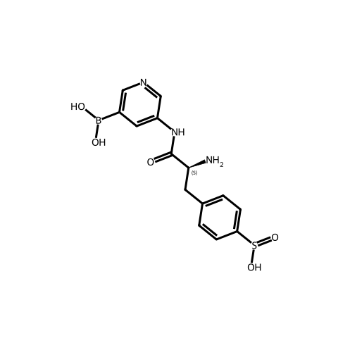 N[C@@H](Cc1ccc(S(=O)O)cc1)C(=O)Nc1cncc(B(O)O)c1